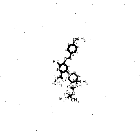 COC(=O)c1nc(Br)c(OCc2ccc(OC)cc2)cc1N1CCC(C)(NC(=O)OC(C)(C)C)CC1